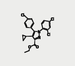 CCOC(=O)c1nn(-c2ccc(Cl)cc2Cl)c(-c2ccc(Cl)cc2)c1C1CC1